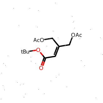 CC(=O)OCC(=CC(=O)OC(C)(C)C)COC(C)=O